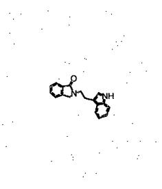 O=C1c2ccccc2CN1CCc1c[nH]c2ccccc12